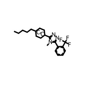 CCCCCC12CCC(c3nnc(-c4ccccc4C(F)(F)F)n3C)(CC1)CC2